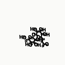 CC(=O)CCC1O[C@H](O[C@H]2OC(CO)[C@@H](O)C(O)C2O)C(O)C(O)[C@@H]1O